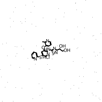 Cc1ncccc1Oc1cc(Sc2ccccn2)cnc1Nc1nc([C@H](O)CO)ns1.Cl